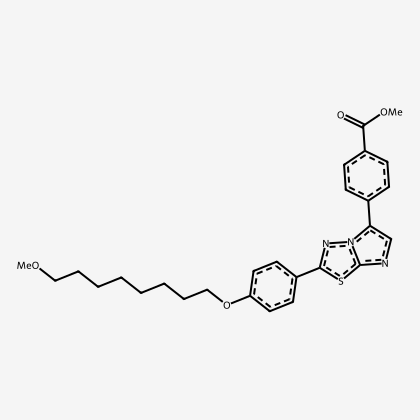 COCCCCCCCCOc1ccc(-c2nn3c(-c4ccc(C(=O)OC)cc4)cnc3s2)cc1